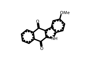 COc1ccc2[nH]c3c(c2c1)C(=O)c1ccccc1C3=O